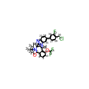 [2H]C([2H])([2H])N1C(=O)c2cccc(OC(F)F)c2[C@H]2C[C@@H]1c1nc3ccc(-c4ccc(CCl)c(F)c4)cc3n12